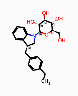 CCc1ccc(C[C@@H]2CN([C@@H]3O[C@H](CO)[C@@H](O)[C@H](O)[C@H]3O)c3ccccc32)cc1